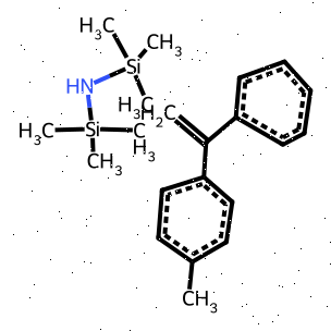 C=C(c1ccccc1)c1ccc(C)cc1.C[Si](C)(C)N[Si](C)(C)C